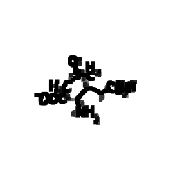 C[S+](C)[O-].N[C@@H](CCC(=O)O)C(=O)[O-].[Na+]